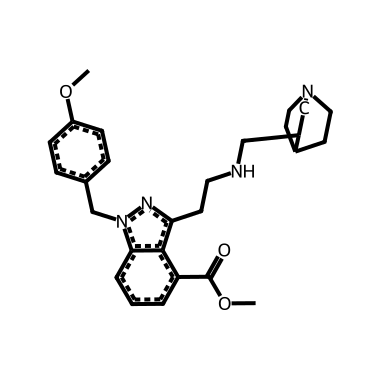 COC(=O)c1cccc2c1c(CCNCC1CN3CCC1CC3)nn2Cc1ccc(OC)cc1